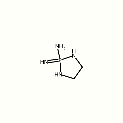 N=P1(N)NCCN1